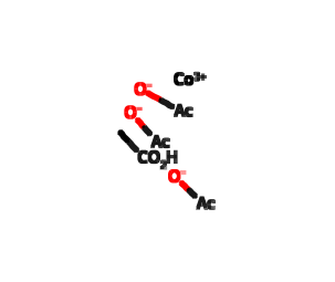 CC(=O)O.CC(=O)[O-].CC(=O)[O-].CC(=O)[O-].[Co+3]